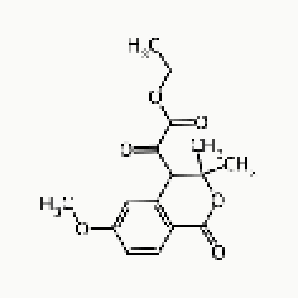 CCOC(=O)C(=O)C1c2cc(OC)ccc2C(=O)OC1(C)C